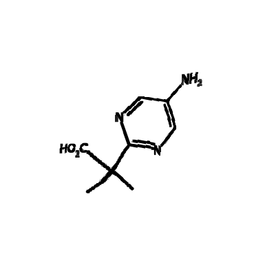 CC(C)(C(=O)O)c1ncc(N)cn1